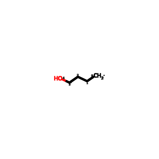 [CH2]CC[CH]O